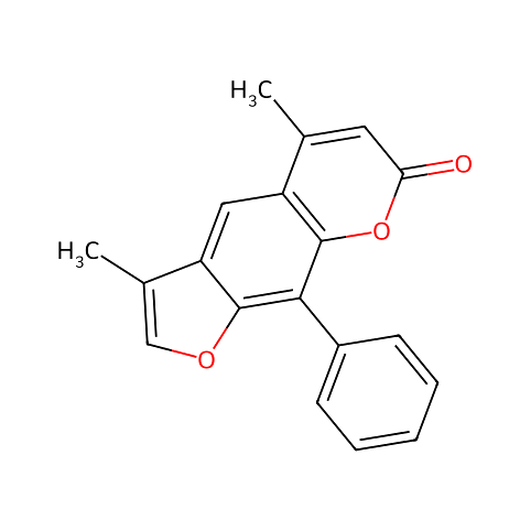 Cc1coc2c(-c3ccccc3)c3oc(=O)cc(C)c3cc12